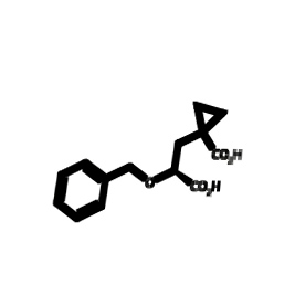 O=C(O)[C@H](CC1(C(=O)O)CC1)OCc1ccccc1